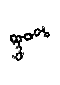 O=C(c1ccco1)N1CCN(c2ccc(-c3cc4nccnc4c(NC[C@@H]4CNCCO4)n3)cc2)CC1